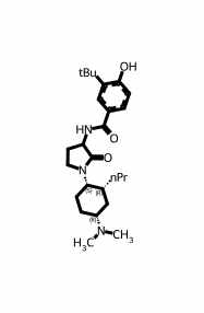 CCC[C@@H]1C[C@H](N(C)C)CC[C@@H]1N1CCC(NC(=O)c2ccc(O)c(C(C)(C)C)c2)C1=O